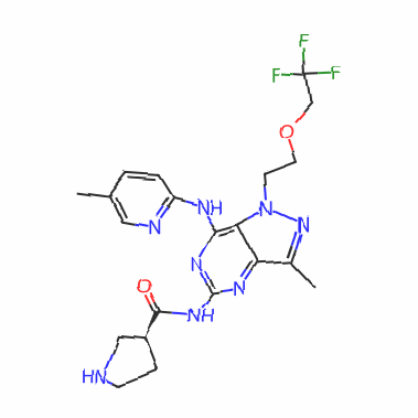 Cc1ccc(Nc2nc(NC(=O)[C@H]3CCNC3)nc3c(C)nn(CCOCC(F)(F)F)c23)nc1